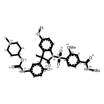 CCOc1ccc2c(c1)C(C)(c1cc(NC(=O)OC3CCN(C)CC3)ccc1Cl)C(=O)N2S(=O)(=O)c1ccc(C(=O)NC(C)(C)C)cc1OC